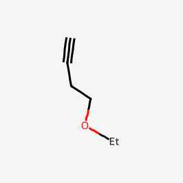 C#CCCOCC